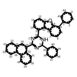 c1ccc(-c2cccc3c2oc2cccc(C4=NC(c5cc6ccccc6c6ccccc56)=NC(c5ccccc5)N4)c23)cc1